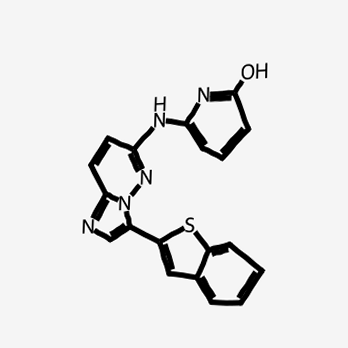 Oc1cccc(Nc2ccc3ncc(-c4cc5ccccc5s4)n3n2)n1